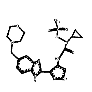 CS(=O)(=O)ON(C(=O)Nc1c[nH]nc1-c1nc2cc(CN3CCOCC3)ccc2[nH]1)C1CC1